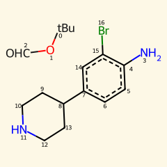 CC(C)(C)OC=O.Nc1ccc(C2CCNCC2)cc1Br